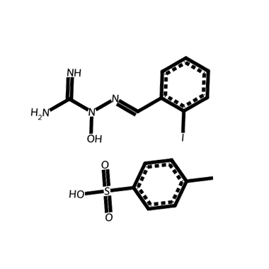 Cc1ccc(S(=O)(=O)O)cc1.N=C(N)N(O)N=Cc1ccccc1I